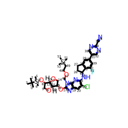 CC(C)(C)[Si](C)(C)OC1CO[C@H]2[C@@H]1OC[C@H]2Oc1nc2cc(Cl)c(N[C@H]3CCc4cc(-c5cnc(C#N)nc5)cc(F)c43)nc2n1COCC[Si](C)(C)C